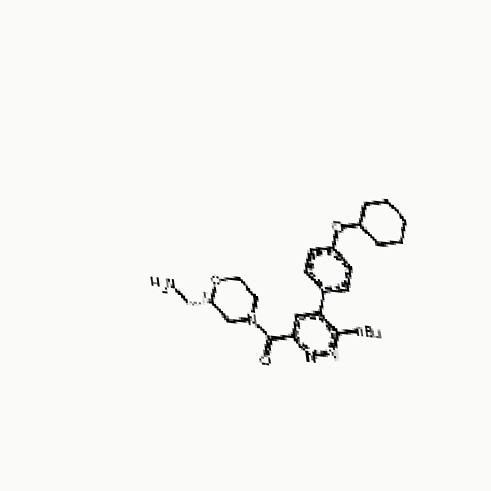 CCCCc1nnc(C(=O)N2CCO[C@@H](CN)C2)cc1-c1ccc(OC2CCCCC2)cc1